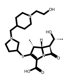 C[C@@H](O)[C@H]1C(=O)N2C(C(=O)O)=C(SC3CCN(CC4CCN(CCO)CC4)C3)[C@H](C)[C@H]12